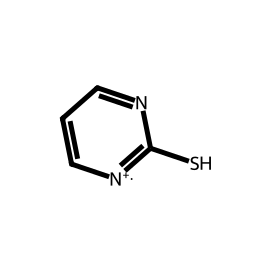 SC1=[N+]C=CC=N1